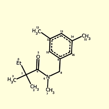 CCC(C)(C)C(=O)N(C)Cc1cc(C)cc(C)c1